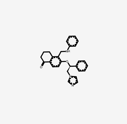 O=C1CCCc2c1ccc(O[C@H](Cn1ccnc1)c1ccccc1)c2CNc1ccccc1